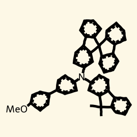 COc1ccc(-c2ccc(N(c3ccc4c(c3)C(C)(C)c3ccccc3-4)c3ccc4c(c3)C3(c5ccccc5-c5ccccc53)c3ccccc3-4)cc2)cc1